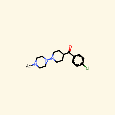 CC(=O)N1CCN(N2CCC(C(=O)c3ccc(Cl)cc3)CC2)CC1